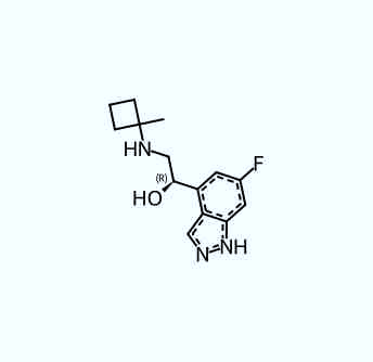 CC1(NC[C@H](O)c2cc(F)cc3[nH]ncc23)CCC1